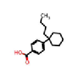 CCCCC1(c2ccc(C(=O)O)cc2)CCCCC1